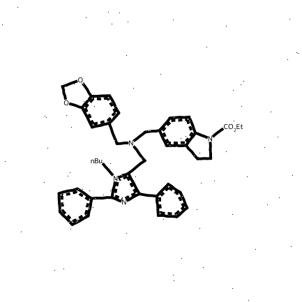 CCCCn1c(-c2ccccc2)nc(-c2ccccc2)c1CN(Cc1ccc2c(c1)CCN2C(=O)OCC)Cc1ccc2c(c1)OCO2